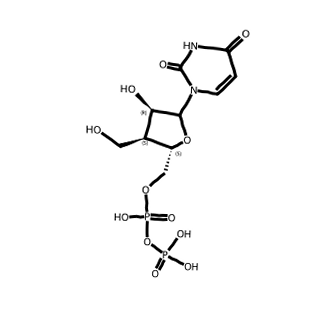 O=c1ccn(C2O[C@H](COP(=O)(O)OP(=O)(O)O)[C@@H](CO)[C@H]2O)c(=O)[nH]1